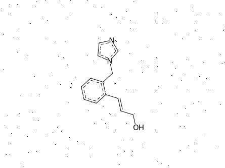 OCC=Cc1ccccc1Cn1ccnc1